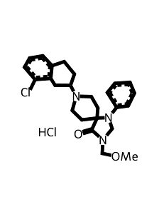 COCN1CN(c2ccccc2)C2(CCN(C3CCc4cccc(Cl)c4C3)CC2)C1=O.Cl